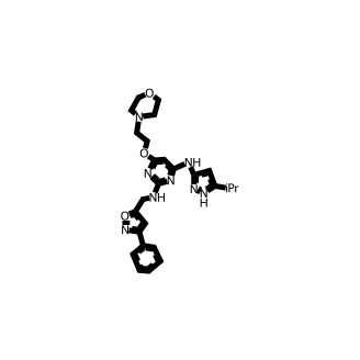 CC(C)c1cc(Nc2cc(OCCN3CCOCC3)nc(NCc3cc(-c4ccccc4)no3)n2)n[nH]1